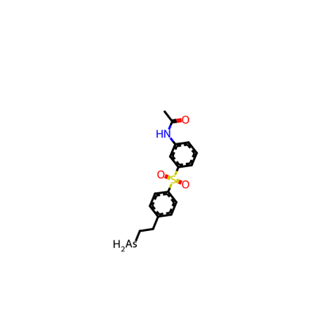 CC(=O)Nc1cccc(S(=O)(=O)c2ccc(CC[AsH2])cc2)c1